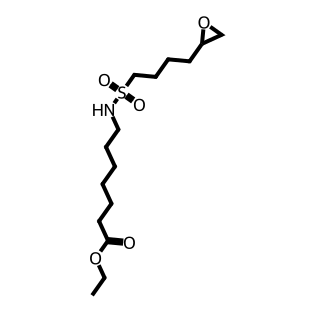 CCOC(=O)CCCCCCNS(=O)(=O)CCCCC1CO1